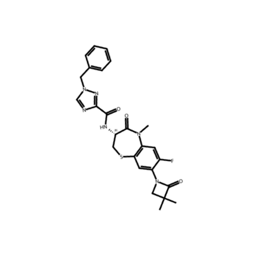 CN1C(=O)[C@@H](NC(=O)c2ncn(Cc3ccccc3)n2)CSc2cc(N3CC(C)(C)C3=O)c(F)cc21